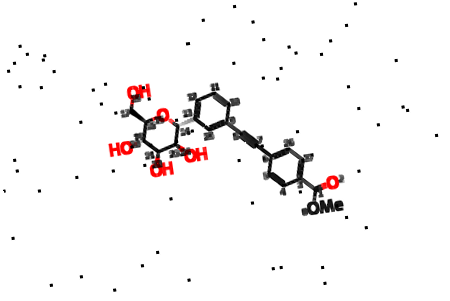 COC(=O)c1ccc(C#Cc2cccc([C@H]3O[C@H](CO)[C@@H](O)[C@H](O)[C@@H]3O)c2)cc1